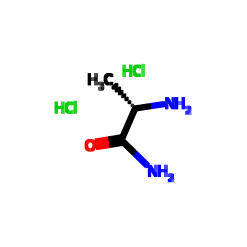 C[C@H](N)C(N)=O.Cl.Cl